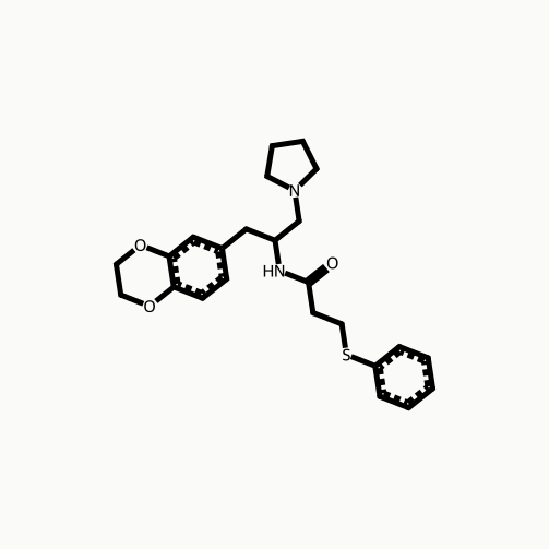 O=C(CCSc1ccccc1)NC(Cc1ccc2c(c1)OCCO2)CN1CCCC1